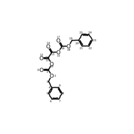 O=C(OCc1ccccc1)OC(=O)C(=O)OC(=O)OCc1ccccc1